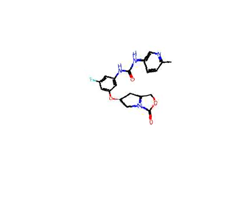 Cc1ccc(NC(=O)Nc2cc(F)cc(O[C@H]3CC4COC(=O)N4C3)c2)cn1